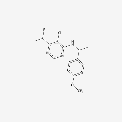 CC(F)c1ncnc(NC(C)c2ccc(OC(F)(F)F)cc2)c1Cl